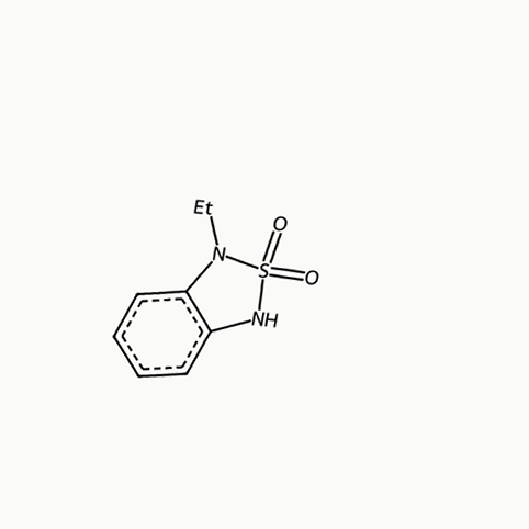 CCN1c2ccccc2NS1(=O)=O